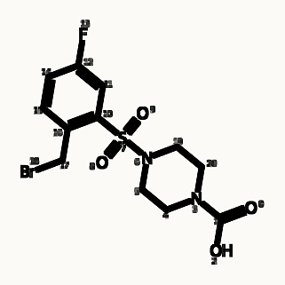 O=C(O)N1CCN(S(=O)(=O)c2cc(F)ccc2CBr)CC1